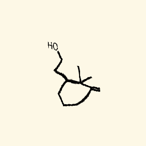 C=C1CCCC(CCO)C1(C)C